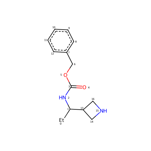 CCC(NC(=O)OCc1ccccc1)C1CNC1